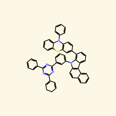 C1=CC(c2nc(-c3ccccc3)nc(-c3cccc(-n4c5ccc6ccccc6c5c5cccc(-c6ccc7c(c6)Sc6ccccc6N7c6ccccc6)c54)c3)n2)=CCC1